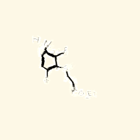 CCOC(=O)CCSc1c(F)ccc(N)c1F